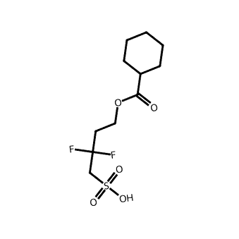 O=C(OCCC(F)(F)CS(=O)(=O)O)C1CCCCC1